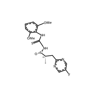 COc1cccc(OC)c1NC(=S)N[S+]([O-])[C@@H](C)Cc1ncc(F)cn1